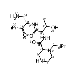 CC(C)CN1CCNC[C@H]1C(=O)N[C@H](C(=O)N[C@@H](CN)C(=O)C(C)C)C(C)O